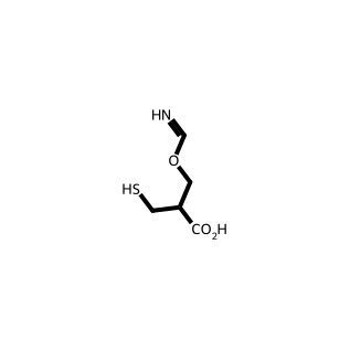 N=COCC(CS)C(=O)O